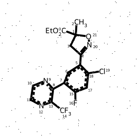 CCOC(=O)C1(C)CC(c2cc(-c3nccnc3C(F)(F)F)c(F)cc2Cl)=NO1